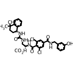 CC1(C)CC[C@@H](NC(=O)NC[C@H](NC(=O)c2c(Cl)cc(C(=O)NCc3cccc(O)c3)cc2Cl)C(=O)O)c2ccccc21